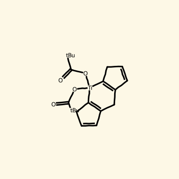 CC(C)(C)C(=O)[O][Ti]1([O]C(=O)C(C)(C)C)[C]2=C(C=CC2)CC2=[C]1CC=C2